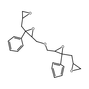 c1ccc(C2(CC3CO3)OC2COCC2OC2(CC2CO2)c2ccccc2)cc1